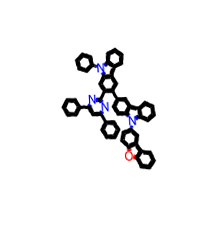 c1ccc(-c2cc(-c3ccccc3)nc(-c3cc4c(cc3-c3ccc5c(c3)c3ccccc3n5-c3ccc5oc6ccccc6c5c3)c3ccccc3n4-c3ccccc3)n2)cc1